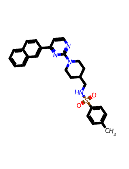 Cc1ccc(S(=O)(=O)NCC2CCN(c3nccc(-c4ccc5ccccc5c4)n3)CC2)cc1